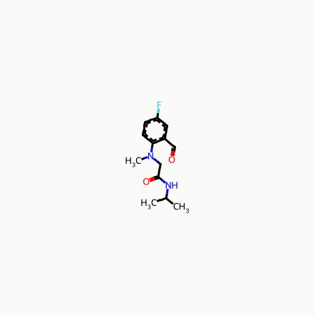 CC(C)NC(=O)CN(C)c1ccc(F)cc1C=O